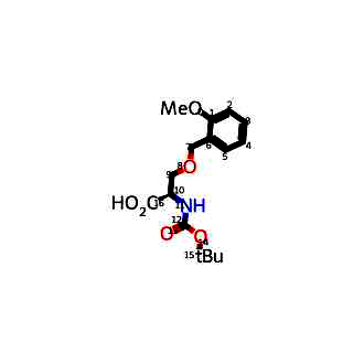 COc1ccccc1COC[C@@H](NC(=O)OC(C)(C)C)C(=O)O